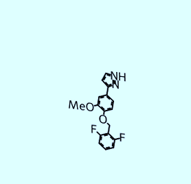 COc1cc(-c2cc[nH]n2)ccc1OCc1c(F)cccc1F